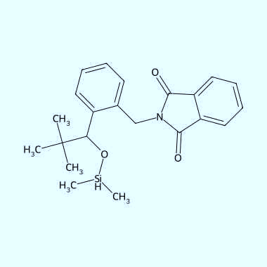 C[SiH](C)OC(c1ccccc1CN1C(=O)c2ccccc2C1=O)C(C)(C)C